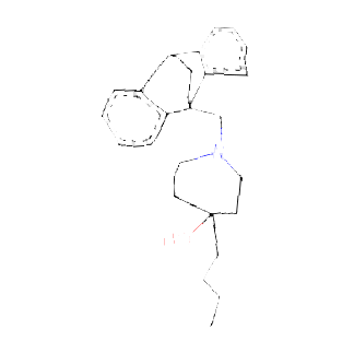 CCCCC1(O)CCN(CC23CC(c4ccccc42)c2ccccc23)CC1